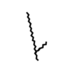 CCCC=C(C=CCCCC)CCCCCCCCCCCCCCCCC